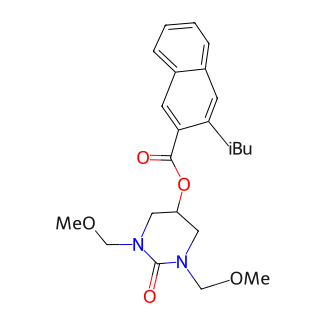 CCC(C)c1cc2ccccc2cc1C(=O)OC1CN(COC)C(=O)N(COC)C1